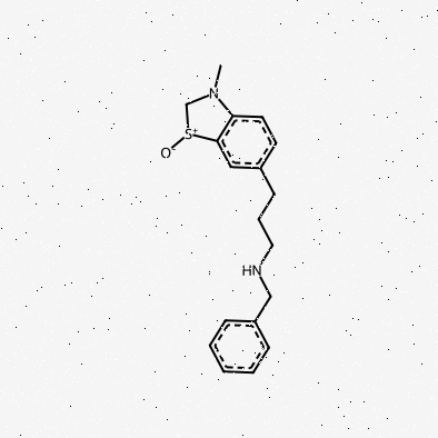 CN1C[S+]([O-])c2cc(CCCNCc3ccccc3)ccc21